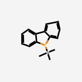 C[Si](C)(C)p1c2ccccc2c2ccccc21